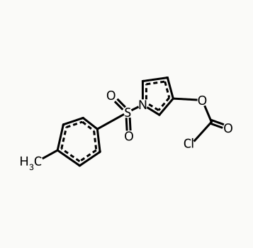 Cc1ccc(S(=O)(=O)n2ccc(OC(=O)Cl)c2)cc1